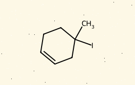 CC1(I)CC=CCC1